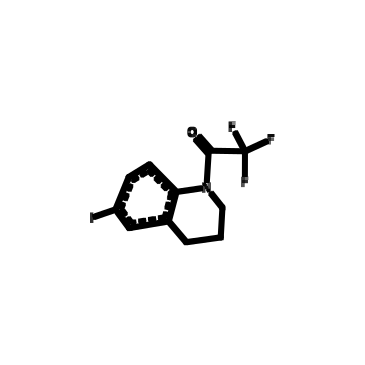 O=C(N1CCCc2cc(I)ccc21)C(F)(F)F